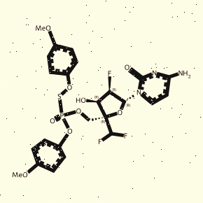 COc1ccc(OSP(=O)(OC[C@@]2(C(F)F)O[C@@H](n3ccc(N)nc3=O)[C@H](F)[C@@H]2O)Oc2ccc(OC)cc2)cc1